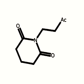 CC(=O)CCN1C(=O)CCCC1=O